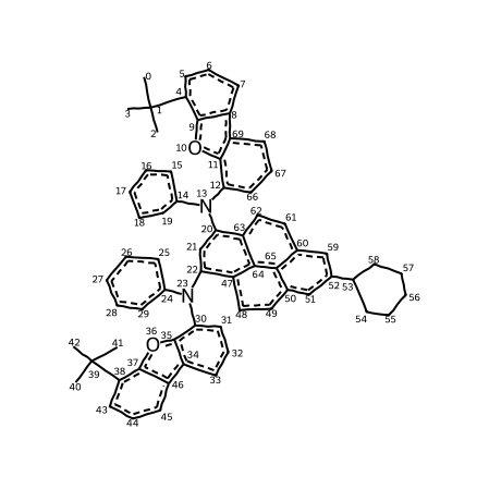 CC(C)(C)c1cccc2c1oc1c(N(c3ccccc3)c3cc(N(c4ccccc4)c4cccc5c4oc4c(C(C)(C)C)cccc45)c4ccc5cc(C6CCCCC6)cc6ccc3c4c65)cccc12